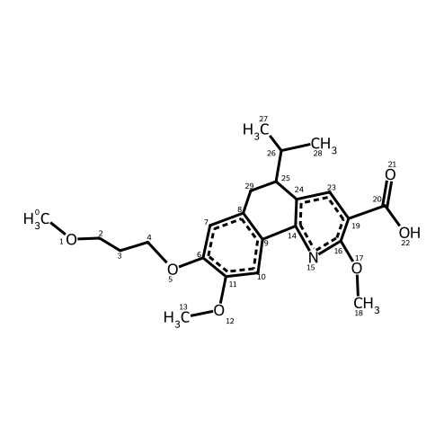 COCCCOc1cc2c(cc1OC)-c1nc(OC)c(C(=O)O)cc1C(C(C)C)C2